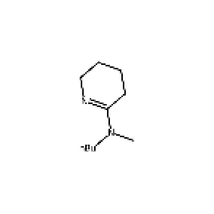 CCCCN(C)C1=NCCCC1